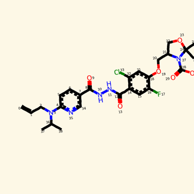 C=CCN(c1ccc(C(=O)NNC(=O)c2cc(F)c(OCC3COC(C)(C)N3C(=O)O)cc2Cl)cn1)C(C)C